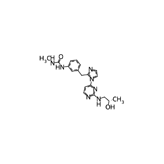 CNC(=O)Nc1cccc(Cc2nccn2-c2ccnc(NC[C@H](C)O)n2)c1